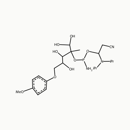 COc1ccc(OCC(O)C(O)C(C)(OP(N)OC(CC#N)N(C(C)C)C(C)C)C(O)O)cc1